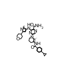 C[C@@H]1[C@H](NC(=O)c2ccc(C3CC3)cc2)CCCN1c1cnc(C(N)=O)c(Nc2cc(C3CCOCC3)ns2)n1